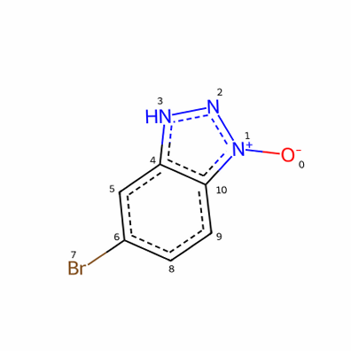 [O-][n+]1n[nH]c2cc(Br)ccc21